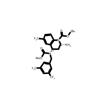 COC(=O)N(Cc1cc(C(F)(F)F)cc(C(F)(F)F)c1)[C@H]1C[C@@H](C)N(C(=O)OC(C)(C)C)c2ccc(C(F)(F)F)cc21